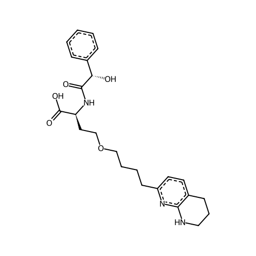 O=C(O)[C@H](CCOCCCCc1ccc2c(n1)NCCC2)NC(=O)[C@@H](O)c1ccccc1